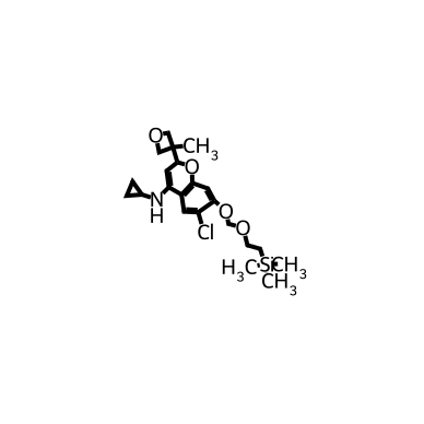 CC1(C2C=C(NC3CC3)c3cc(Cl)c(OCOCC[Si](C)(C)C)cc3O2)COC1